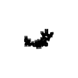 CCC(CNC(=O)C(C)(C)C(C)(C)C(C)(C)OCCC(C)(C)OC)NC(C)C